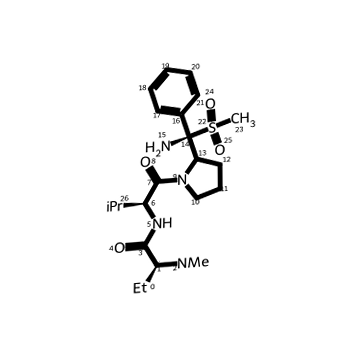 CC[C@H](NC)C(=O)N[C@H](C(=O)N1CCCC1[C@](N)(c1ccccc1)S(C)(=O)=O)C(C)C